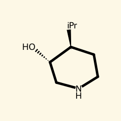 CC(C)[C@H]1CCNC[C@@H]1O